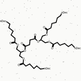 CCCCCCCCCCCCCCCC(=O)OCC(COC(=O)CCCCCCCCCCCCCCC)OC(=O)CCC(=O)OC(COC(=O)CCCCCCCCCCCCCCC)COC(=O)CCCCCCCCCCCCCCC